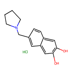 Cl.Oc1cc2ccc(CN3CCCC3)cc2cc1O